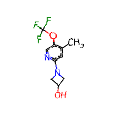 Cc1cc(N2CC(O)C2)ncc1OC(F)(F)F